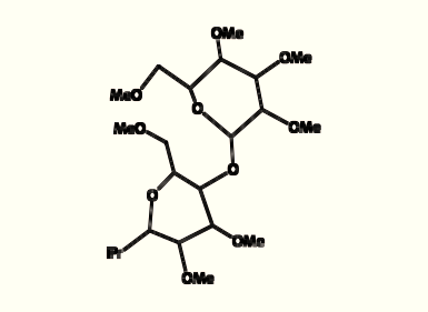 COCC1OC(OC2C(COC)OC(C(C)C)C(OC)C2OC)C(OC)C(OC)C1OC